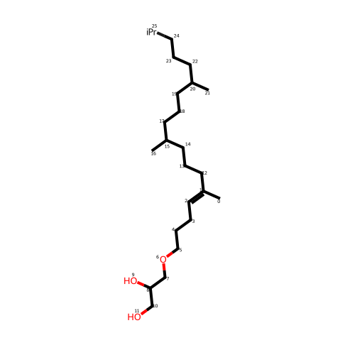 CC(=CCCCOCC(O)CO)CCCC(C)CCCC(C)CCCC(C)C